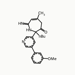 CCCCC1(c2cncc(-c3cccc(OC)c3)c2)NC(=N)C=C(C)CC1=O